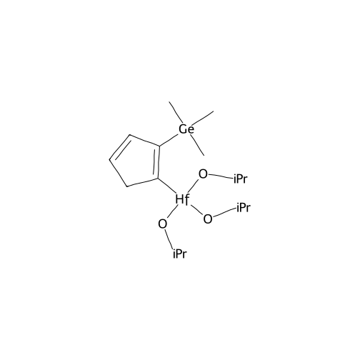 CC(C)[O][Hf]([O]C(C)C)([O]C(C)C)[C]1=[C]([Ge]([CH3])([CH3])[CH3])C=CC1